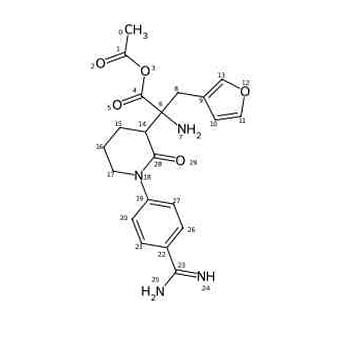 CC(=O)OC(=O)C(N)(Cc1ccoc1)C1CCCN(c2ccc(C(=N)N)cc2)C1=O